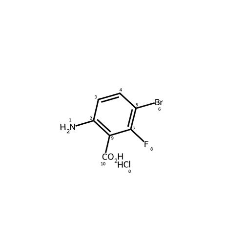 Cl.Nc1ccc(Br)c(F)c1C(=O)O